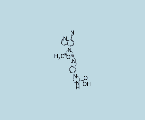 C[C@@H]1CN(c2ccc(C#N)c3ncccc23)C[C@H](CN2Cc3ccc(N4CCNC(C(=O)O)C4)cc3C2)O1